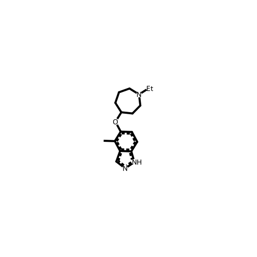 CCN1CCCC(Oc2ccc3[nH]ncc3c2C)CC1